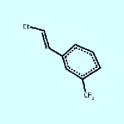 CCC=Cc1cccc(C(F)(F)F)c1